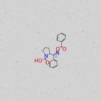 O=C(O/N=C(/c1ccccc1)C1CCCN1C(=O)O)c1ccccc1